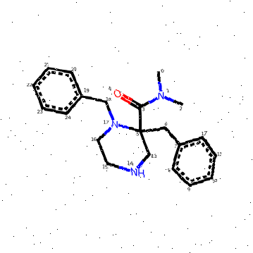 CN(C)C(=O)C1(Cc2ccccc2)CNCCN1Cc1ccccc1